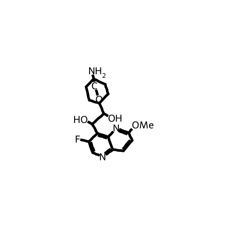 COc1ccc2ncc(F)c(C(O)C(O)C34CCC(N)(CC3)CO4)c2n1